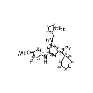 CCCN(c1nc(NCC2CCCN2CC)nc(Nc2ccc(OC)c(F)c2)n1)C1CCCCCC1